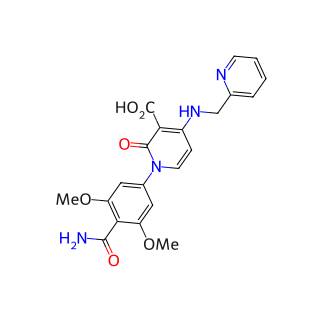 COc1cc(-n2ccc(NCc3ccccn3)c(C(=O)O)c2=O)cc(OC)c1C(N)=O